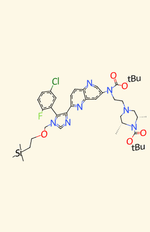 C[C@@H]1CN(CCN(C(=O)OC(C)(C)C)c2cnc3ccc(-c4ncn(COCC[Si](C)(C)C)c4-c4cc(Cl)ccc4F)nc3c2)C[C@H](C)N1C(=O)OC(C)(C)C